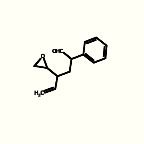 C=CC(CC(C=O)c1ccccc1)C1CO1